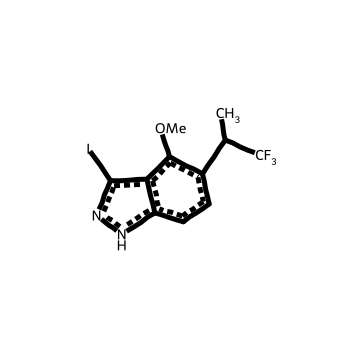 COc1c(C(C)C(F)(F)F)ccc2[nH]nc(I)c12